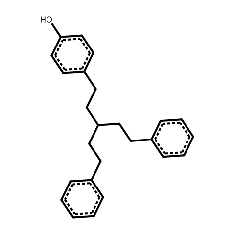 Oc1ccc(CCC(CCc2ccccc2)CCc2ccccc2)cc1